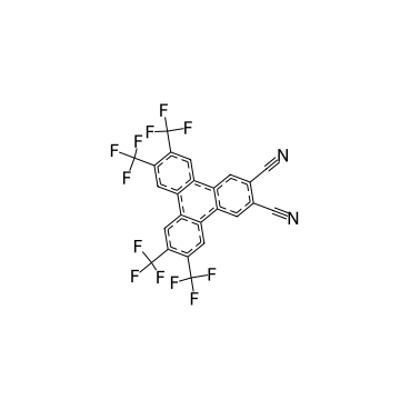 N#Cc1cc2c(cc1C#N)c1cc(C(F)(F)F)c(C(F)(F)F)cc1c1cc(C(F)(F)F)c(C(F)(F)F)cc21